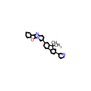 CC1(C)c2cc(-c3cccnc3)ccc2-c2ccc(-c3ccc4nc5c6ccccc6oc5n4c3)cc21